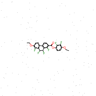 CCOc1ccc(OC(=O)c2ccc3c(c2F)C(F)C(F)c2c-3ccc(OCC)c2F)c(F)c1F